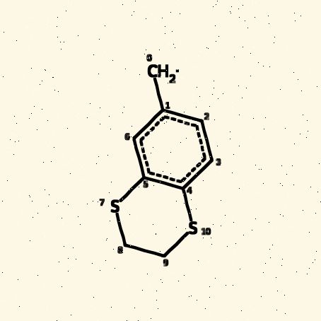 [CH2]c1ccc2c(c1)SCCS2